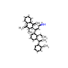 C=Cc1c(C(=C)c2ccccc2C)cccc1/C(=C/C=N)c1c(C)c(=C)c2ccccc2c1=C